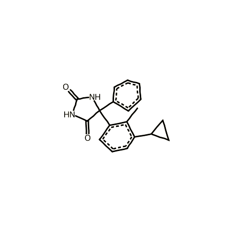 Cc1c(C2CC2)cccc1C1(c2ccccc2)NC(=O)NC1=O